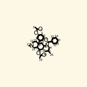 CC(=O)Oc1cccc(C23CCN(C)CC2C(OC(C)=O)CC(N(CC(C)C)C(=O)c2ccccc2)C3)c1